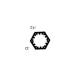 [Cl-].[Cs+].c1ccccc1